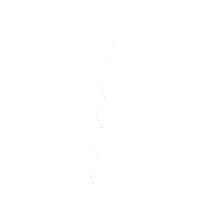 CCCOCCCCOCCN